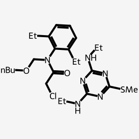 CCCCOCN(C(=O)CCl)c1c(CC)cccc1CC.CCNc1nc(NCC)nc(SC)n1